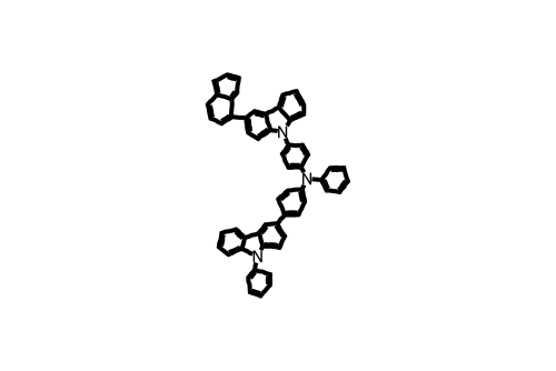 c1ccc(N(c2ccc(-c3ccc4c(c3)c3ccccc3n4-c3ccccc3)cc2)c2ccc(-n3c4ccccc4c4cc(-c5cccc6ccccc56)ccc43)cc2)cc1